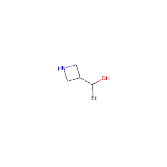 CCC(O)C1CNC1